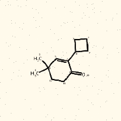 CC1(C)C=C(C2CCC2)C(=O)CC1